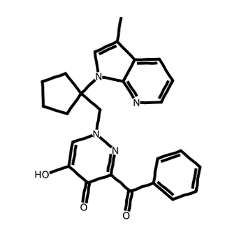 Cc1cn(C2(Cn3cc(O)c(=O)c(C(=O)c4ccccc4)n3)CCCC2)c2ncccc12